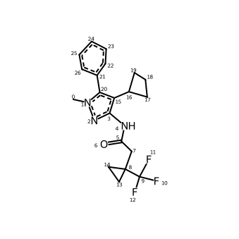 Cn1nc(NC(=O)CC2(C(F)(F)F)CC2)c(C2CCC2)c1-c1ccccc1